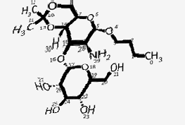 CCCCO[C@@H]1OC2COC(C)(C)O[C@H]2C(O[C@@H]2OC(CO)[C@H](O)C(O)[C@@H]2O)[C@@H]1N